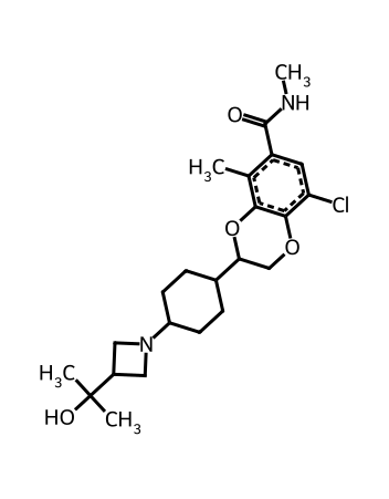 CNC(=O)c1cc(Cl)c2c(c1C)OC(C1CCC(N3CC(C(C)(C)O)C3)CC1)CO2